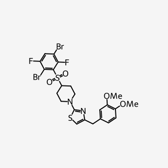 COc1ccc(Cc2csc(N3CCC(S(=O)(=O)c4c(F)c(Br)cc(F)c4Br)CC3)n2)cc1OC